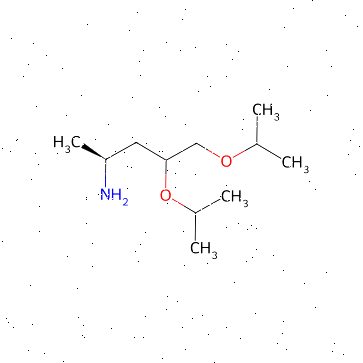 CC(C)OCC(C[C@H](C)N)OC(C)C